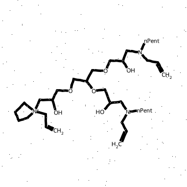 C=CCN(CCCCC)CC(O)COCC(COCC(O)C[N+]1(CC=C)CCCC1)OCC(O)CN(CC=C)CCCCC